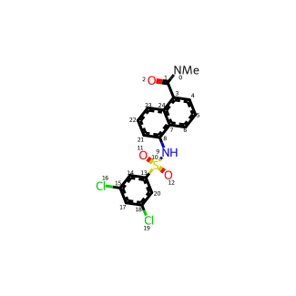 CNC(=O)c1cccc2c(NS(=O)(=O)c3cc(Cl)cc(Cl)c3)cccc12